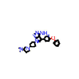 CN(C)[C@H]1CCN([C@H]2CC[C@@H](n3cc(-c4ccc(Oc5ccccc5)cc4)c4c(N)ncnc43)CC2)C1